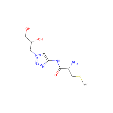 [CH2][CH]CSC[C@@H](N)C(=O)Nc1cn(C[C@@H](O)CO)nn1